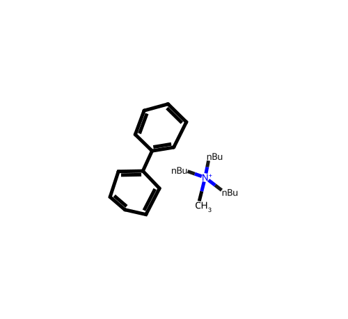 CCCC[N+](C)(CCCC)CCCC.c1ccc(-c2ccccc2)cc1